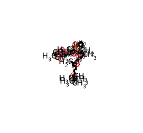 C=C1C[C@H](CCCO[Si](C)(C)C(C)(C)C)OC1CC[C@H]1C[C@@H](C)C(=C)[C@@H](C[C@@H]2OC(C[C@H]3CN(C(=O)OC(C)(C)C)C(=O)O3)[C@H](C)[C@H]2CS(=O)(=O)c2ccccc2)O1